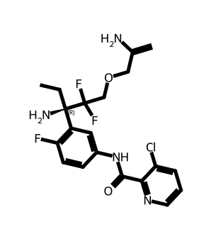 C=C(N)COCC(F)(F)[C@@](N)(CC)c1cc(NC(=O)c2ncccc2Cl)ccc1F